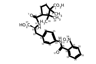 CC1(C(=O)O)CCC(C(=O)N[C@@H](Cc2ccc(NC(=O)c3ccccc3[N+](=O)[O-])cc2)C(=O)O)C1(C)C